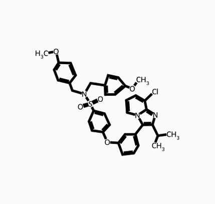 COc1ccc(CN(Cc2ccc(OC)cc2)S(=O)(=O)c2ccc(Oc3cccc(-c4c(C(C)C)nc5c(Cl)cccn45)c3)cc2)cc1